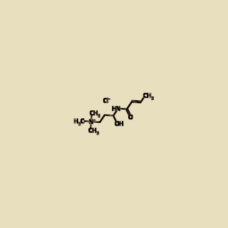 CC=CC(=O)NC(O)CC[N+](C)(C)C.[Cl-]